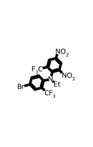 CCN(c1ccc(Br)cc1C(F)(F)F)c1c([N+](=O)[O-])cc([N+](=O)[O-])cc1C(F)(F)F